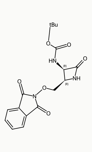 CC(C)(C)OC(=O)N[C@H]1C(=O)N[C@H]1CON1C(=O)c2ccccc2C1=O